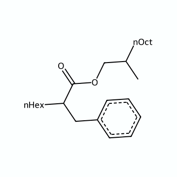 CCCCCCCCC(C)COC(=O)C(CCCCCC)Cc1ccccc1